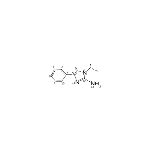 CCn1cc(-c2ccccc2)nc1N